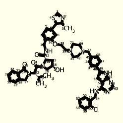 CC1N=CSC1c1ccc(CNC(=O)[C@@H]2C[C@@H](O)CN2C(=O)[C@H](C(C)C)N2Cc3ccccc3C2=O)c(OCCN2CCN(Cc3ccc(-c4cc5c(NCc6ccccc6Cl)ncnc5[nH]4)cc3)CC2)c1